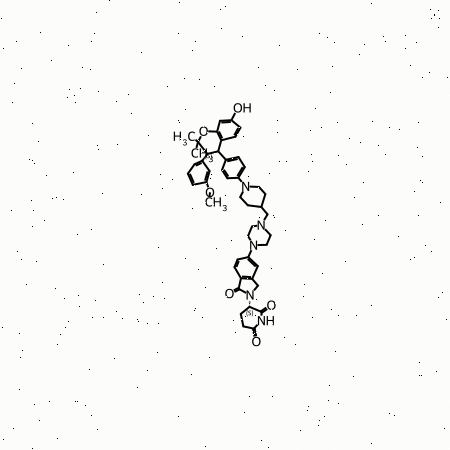 COc1cccc([C@@H]2C(c3ccc(N4CCC(CN5CCN(c6ccc7c(c6)CN([C@H]6CCC(=O)NC6=O)C7=O)CC5)CC4)cc3)c3ccc(O)cc3OC2(C)C)c1